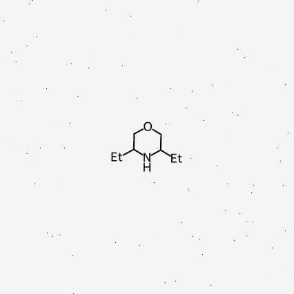 CCC1COCC(CC)N1